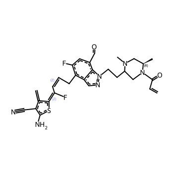 C=CC(=O)N1CC(CCn2ncc3c(C/C=C\C(F)=c4\sc(N)c(C#N)c4=C)c(F)cc(C=O)c32)N(C)C[C@H]1C